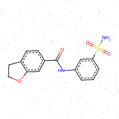 NS(=O)(=O)c1cccc(NC(=O)c2ccc3c(c2)OCC3)c1